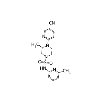 Cc1cccc(NS(=O)(=O)N2CCN(c3ccc(C#N)cn3)[C@H](C)C2)n1